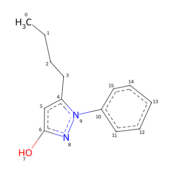 CCCCc1cc(O)nn1-c1ccccc1